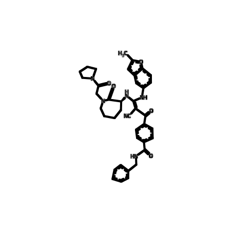 Cc1cc2cc(N/C(N[C@H]3CCCCN(CC(=O)N4CCCC4)C3=O)=C(/C#N)C(=O)c3ccc(C(=O)NCc4ccccc4)cc3)ccc2o1